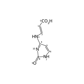 O=C(O)C=CNc1cc[nH]c(=O)n1